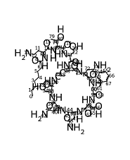 CCCCCCCC(=O)N[C@@H](CCN)C(=O)N[C@H](C(=O)NC(CO)C(=O)N[C@H]1CCNC(=O)[C@H](CO)NC(=O)[C@H](CCN)NC(=O)[C@H](CCN)NC(=O)[C@H]([C@@H](C)O)NC(=O)[C@@H](Cc2ccccc2)NC(=O)[C@H](CCN)NC1=O)[C@@H](C)O